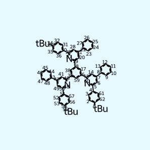 CC(C)(C)c1ccc(-c2cc(-c3ccccc3)cc(-c3cc(-c4cc(-c5ccccc5)cc(-c5ccc(C(C)(C)C)cc5)n4)cc(-c4cc(-c5ccccc5)cc(-c5ccc(C(C)(C)C)cc5)n4)c3)n2)cc1